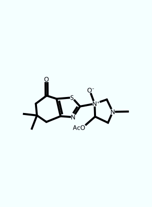 CC(=O)OC1CN(C)C[N+]1([O-])c1nc2c(s1)C(=O)CC(C)(C)C2